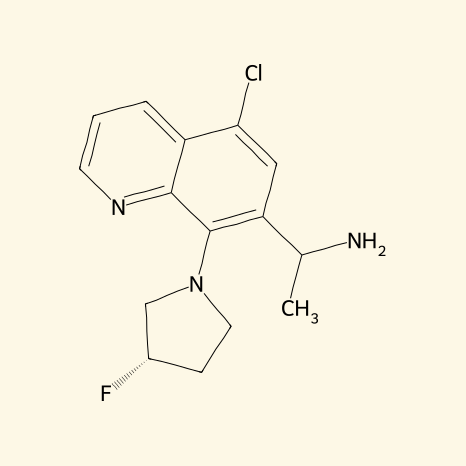 CC(N)c1cc(Cl)c2cccnc2c1N1CC[C@H](F)C1